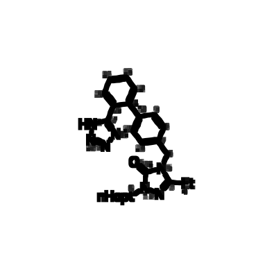 CCCCCCCn1nc(CC)n(Cc2ccc(-c3ccccc3-c3nnn[nH]3)cc2)c1=O